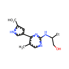 CCC(CO)Nc1ncc(C)c(-c2c[nH]c(C(=O)O)c2)n1